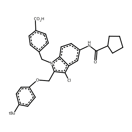 CC(C)(C)c1ccc(OCc2c(Cl)c3cc(NC(=O)C4CCCC4)ccc3n2Cc2ccc(C(=O)O)cc2)cc1